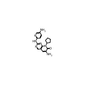 Nc1ccc(Nc2ncc3cc(N)c(=O)n(C4CCCC4)c3n2)nc1